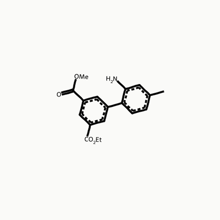 CCOC(=O)c1cc(C(=O)OC)cc(-c2ccc(C)cc2N)c1